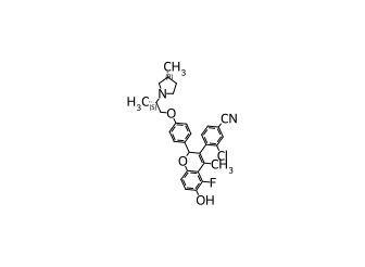 CC1=C(c2ccc(C#N)cc2Cl)C(c2ccc(OC[C@H](C)N3CC[C@@H](C)C3)cc2)Oc2ccc(O)c(F)c21